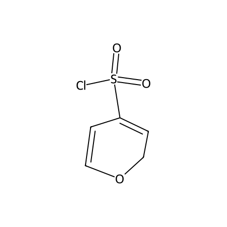 O=S(=O)(Cl)C1=CCOC=C1